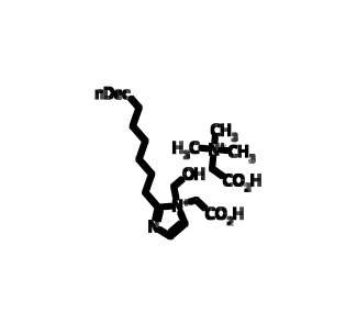 CCCCCCCCCCCCCCCCC1=NC=C[N+]1(CO)CC(=O)O.C[N+](C)(C)CC(=O)O